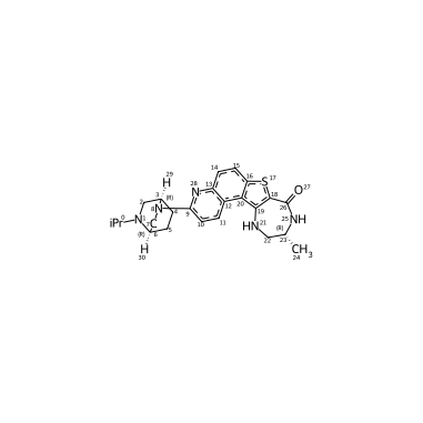 CC(C)N1C[C@H]2CC[C@@H]1CN2c1ccc2c(ccc3sc4c(c32)NC[C@@H](C)NC4=O)n1